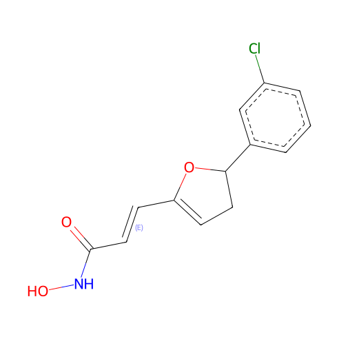 O=C(/C=C/C1=CCC(c2cccc(Cl)c2)O1)NO